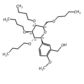 CCCCOC[C@H]1O[C@@H](c2ccc(OC)c(CO)c2)[C@H](OCCCC)[C@@H](OCCCC)[C@@H]1OCCCC